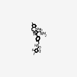 COc1cc(F)c(F)cc1C(=O)NCc1ccc(-c2nn3c(c2C(N)=O)Nc2ccc(C)cc2CC3)cc1